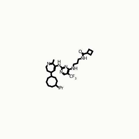 CC1=NCCC(C2CCCCC(C(C)C)CC2)C=C1Nc1ncc(C(F)(F)F)c(NCCCNC(=O)C2CCC2)n1